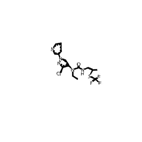 CCN(C(=O)NCC(C)SC(F)(F)F)c1cn(-c2cccnc2)nc1Cl